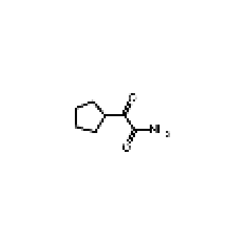 NC(=O)C(=O)[C]1CCCC1